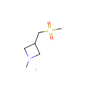 CC(C)S(=O)(=O)CC1CN(C(=O)O)C1